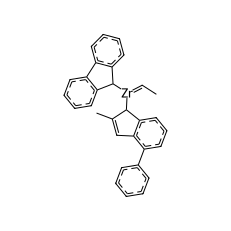 C[CH]=[Zr]([CH]1C(C)=Cc2c(-c3ccccc3)cccc21)[CH]1c2ccccc2-c2ccccc21